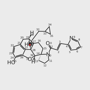 O=C(/C=C/c1ccccn1)N1CCC[C@]12CC[C@@]1(O)[C@H]3Cc4ccc(O)c5c4[C@@]1(CCN3CC1CC1)[C@H]2O5